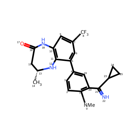 CNc1ccc(-c2cc(C(F)(F)F)cc3c2N[C@H](C)CC(=O)N3)cc1C(=N)C1CC1